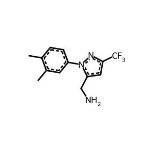 Cc1ccc(-n2nc(C(F)(F)F)cc2CN)cc1C